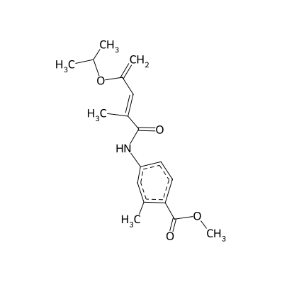 C=C(/C=C(\C)C(=O)Nc1ccc(C(=O)OC)c(C)c1)OC(C)C